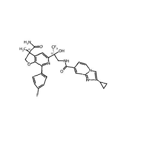 C[C@]1(C(N)=O)COc2c1cc([C@@](O)(CNC(=O)c1ccn3cc(C4CC4)nc3c1)C(F)(F)F)nc2-c1ccc(F)cc1